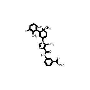 CNC(=O)c1cccc(NC(=O)c2ncn(C3=CCC(C)(OC)C(c4cccc(F)c4C)=C3)c2C)c1